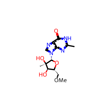 COC[C@H]1O[C@@H](n2cnc3c(=O)[nH]c(C)nc32)[C@](C)(O)[C@@H]1O